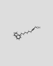 OCC#CCCCCCCc1cccc2cncn12